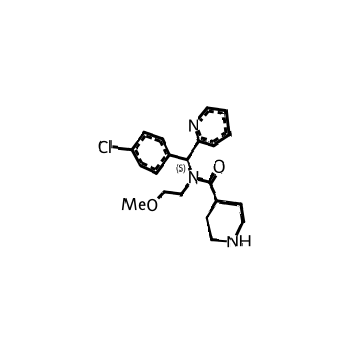 COCCN(C(=O)C1CCNCC1)[C@@H](c1ccc(Cl)cc1)c1ccccn1